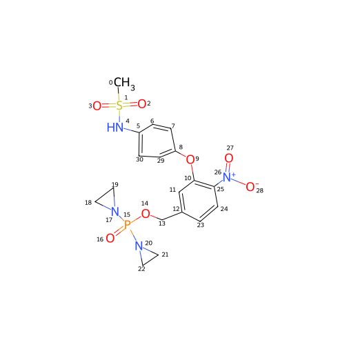 CS(=O)(=O)Nc1ccc(Oc2cc(COP(=O)(N3CC3)N3CC3)ccc2[N+](=O)[O-])cc1